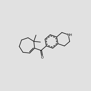 CC1(C)CCCCC=C1C(=O)c1ccc2c(c1)CCNC2